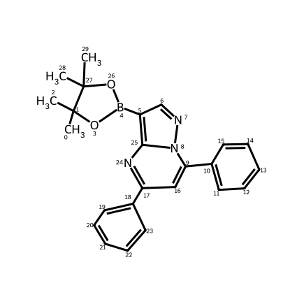 CC1(C)OB(c2cnn3c(-c4ccccc4)cc(-c4ccccc4)nc23)OC1(C)C